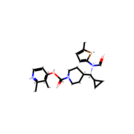 Cc1ccc(N(C=O)[C@H](C2CC2)C2CCN(C(=O)Oc3ccnc(C)c3C)CC2)s1